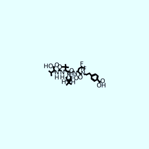 CC(C)[C@H](NC(=O)N[C@H](C(=O)N1C[C@H]2[C@@H]([C@H]1C(=O)NC(CC(F)F)C(=O)NCCc1ccc(C(=O)O)cc1)C2(C)C)C(C)(C)C)C(=O)O